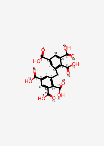 O=C(O)c1cc(Cc2cc(C(=O)O)cc(C(=O)O)c2C(=O)O)c(C(=O)O)c(C(=O)O)c1